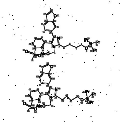 COCn1c(CCCCO[Si](C(C)C)(C(C)C)C(C)C)nc(-c2ccc3ccoc3c2)c1-c1ccnc(S(C)(=O)=O)n1.COCn1c(CCCCO[Si](C(C)C)(C(C)C)C(C)C)nc(-c2ccc3ccoc3c2)c1-c1ccnc(S(C)(=O)=O)n1